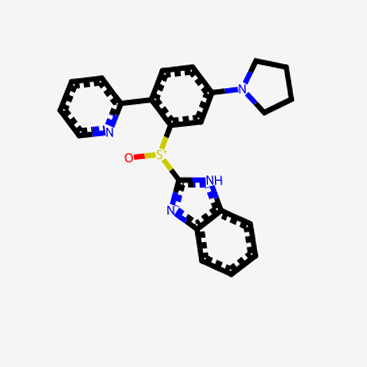 [O-][S+](c1nc2ccccc2[nH]1)c1cc(N2CCCC2)ccc1-c1ccccn1